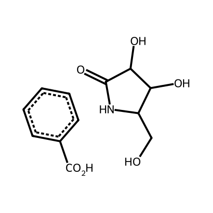 O=C(O)c1ccccc1.O=C1NC(CO)C(O)C1O